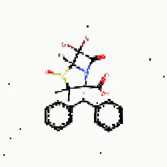 CC1(C)[S+]([O-])[C@H]2N(C(=O)C2(Br)Br)[C@]1(C(=O)O)C(c1ccccc1)c1ccccc1